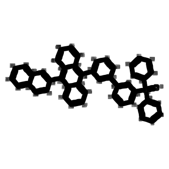 O=P(c1ccccc1)(c1ccccc1)c1cccc(-c2cccc(-c3c4ccccc4c(-c4ccc5ccccc5c4)c4ccccc34)c2)c1